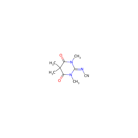 CN1C(=O)C(C)(C)C(=O)N(C)C1=NC#N